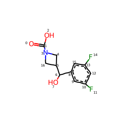 O=C(O)N1CC(C(O)c2cc(F)cc(F)c2)C1